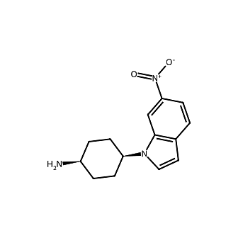 N[C@H]1CC[C@@H](n2ccc3ccc([N+](=O)[O-])cc32)CC1